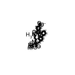 CCCCc1nc(C(F)(F)C(F)(F)F)c(C(=O)O)n1Cc1ccc(-c2ccccc2S(=O)(=O)NC(=O)c2ccc([N+](=O)[O-])cc2)cc1